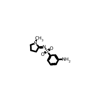 CN1CCCC1=NS(=O)(=O)c1cccc(N)c1